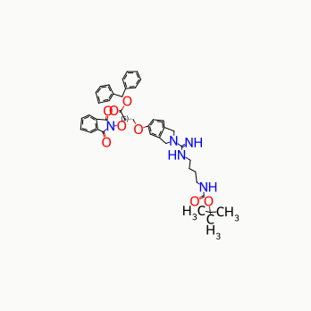 CC(C)(C)OC(=O)NCCCCNC(=N)N1Cc2ccc(OC[C@H](ON3C(=O)c4ccccc4C3=O)C(=O)OC(c3ccccc3)c3ccccc3)cc2C1